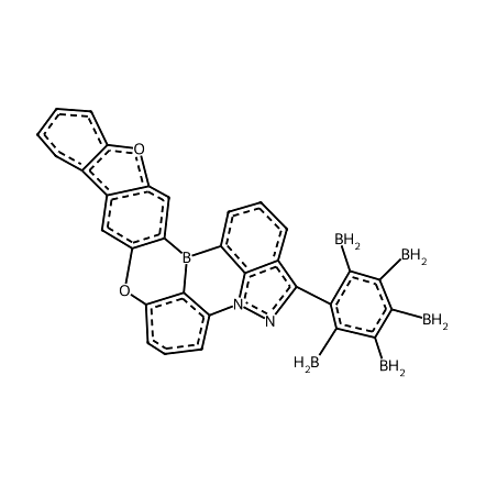 Bc1c(B)c(B)c(-c2nn3c4c(cccc24)B2c4cc5oc6ccccc6c5cc4Oc4cccc-3c42)c(B)c1B